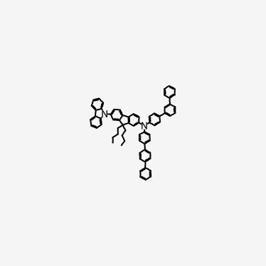 CCCCC1(CCCC)c2cc(N(c3ccc(-c4ccc(-c5ccccc5)cc4)cc3)c3ccc(-c4cccc(-c5ccccc5)c4)cc3)ccc2-c2ccc(-n3c4ccccc4c4ccccc43)cc21